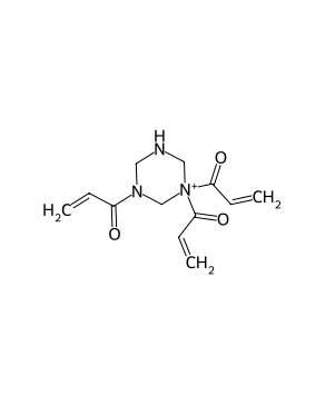 C=CC(=O)N1CNC[N+](C(=O)C=C)(C(=O)C=C)C1